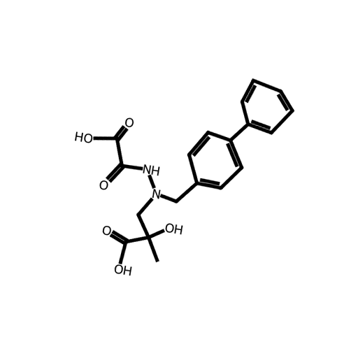 CC(O)(CN(Cc1ccc(-c2ccccc2)cc1)NC(=O)C(=O)O)C(=O)O